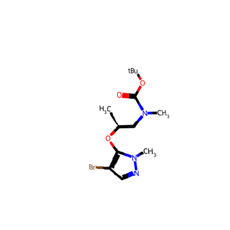 C[C@@H](CN(C)C(=O)OC(C)(C)C)Oc1c(Br)cnn1C